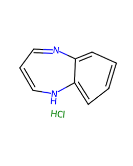 C1=CNc2ccccc2N=C1.Cl